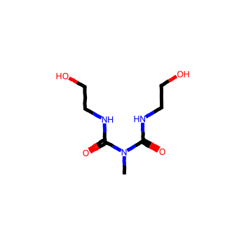 CN(C(=O)NCCO)C(=O)NCCO